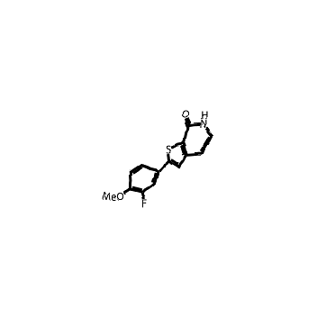 COc1ccc(-c2cc3cc[nH]c(=O)c3s2)cc1F